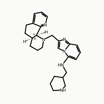 c1cnc2c(c1)CC[C@@H]1CCCN(Cc3cn4c(NCC5CCCNC5)cccc4n3)[C@H]21